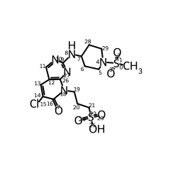 CS(=O)(=O)N1CCC(Nc2ncc3cc(Cl)c(=O)n(CCCS(=O)(=O)O)c3n2)CC1